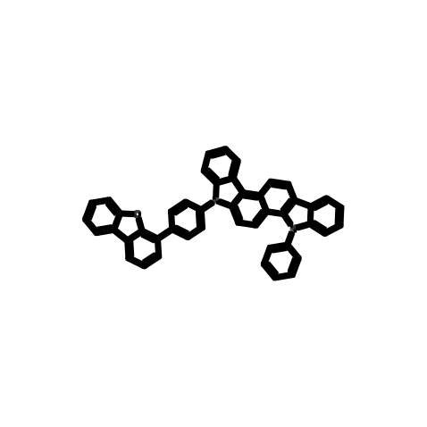 c1ccc(-n2c3ccccc3c3ccc4c(ccc5c4c4ccccc4n5-c4ccc(-c5cccc6c5oc5ccccc56)cc4)c32)cc1